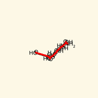 NNC(CCCCNC(=O)COCCOCCNC(=O)COCCOCCNC(=O)CC[C@H](NC(=O)CCCCCCCCCCCCCCCCC(=O)O)C(=O)O)C(=O)O